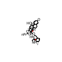 CCCC1O[C@@H]2C[C@H]3[C@@H]4CCC5=CC(=O)C=C[C@]5(C)[C@H]4[C@@H](O)C[C@]3(C)[C@]2(C(=O)COC(Cc2ccccc2)NC(=O)CN)O1